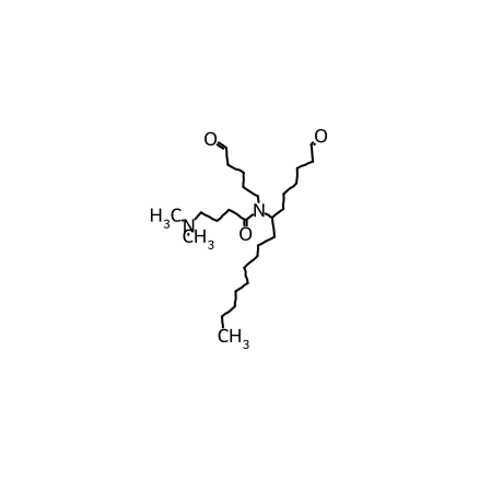 CCCCCCCCCC(CCCCCC=O)N(CCCCC=O)C(=O)CCCN(C)C